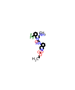 C=CCOC(=O)ON1CCc2c(cccc2NCC(=O)N(CCNC)Cc2ccccc2C(F)(F)F)C1